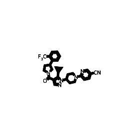 N#Cc1ccc(N2CCC(n3ncc(C(=O)N4CCC(c5ccccc5C(F)(F)F)C4)c3C3CC3)CC2)nc1